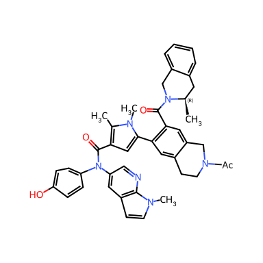 CC(=O)N1CCc2cc(-c3cc(C(=O)N(c4ccc(O)cc4)c4cnc5c(ccn5C)c4)c(C)n3C)c(C(=O)N3Cc4ccccc4C[C@H]3C)cc2C1